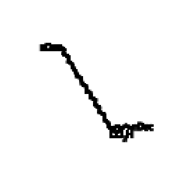 CCCCCCCCCCCCCCCCCCCCCCCCCCCCCCCCC(CCCCCCCCCCCCCC)C(=O)O